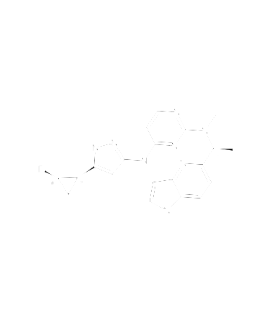 C[C@@H](c1ccc2[nH]ccc2n1)N(C)c1nccc(Nc2cc([C@H]3C[C@H]3F)[nH]n2)n1